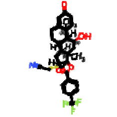 C[C@]12C=CC(=O)C=C1CC[C@@H]1[C@@H]2[C@@H](O)C[C@@]2(C)[C@H]1C[C@H]1OC(c3ccc(C(F)(F)F)cc3)O[C@]12C(=O)SCC#N